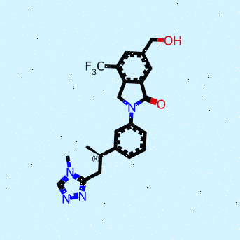 C[C@H](Cc1nncn1C)c1cccc(N2Cc3c(cc(CO)cc3C(F)(F)F)C2=O)c1